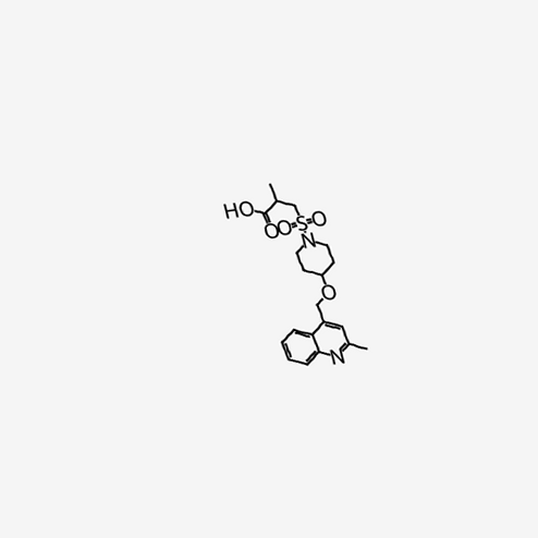 Cc1cc(COC2CCN(S(=O)(=O)CC(C)C(=O)O)CC2)c2ccccc2n1